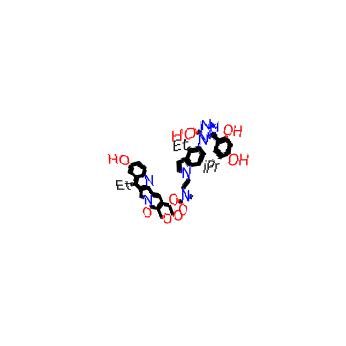 CCc1c2c(nc3ccc(O)cc13)-c1cc3c(c(=O)n1C2)COC(=O)C3OC(=O)N(C)CCn1ccc2c(CC)c(-n3c(O)nnc3-c3cc(C(C)C)c(O)cc3O)ccc21